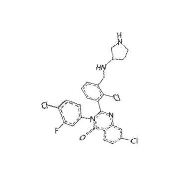 O=c1c2ccc(Cl)cc2nc(-c2cccc(CNC3CCNC3)c2Cl)n1-c1ccc(Cl)c(F)c1